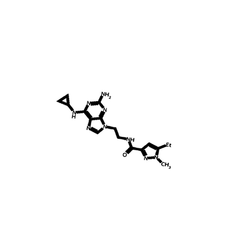 CCc1cc(C(=O)NCCn2cnc3c(NC4CC4)nc(N)nc32)nn1C